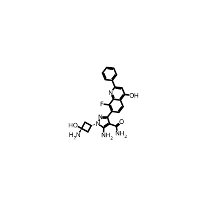 NC(=O)c1c(-c2ccc3c(O)cc(-c4ccccc4)nc3c2F)nn([C@H]2C[C@@](N)(O)C2)c1N